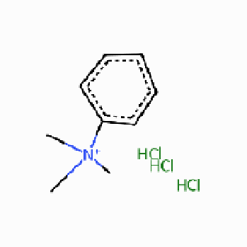 C[N+](C)(C)c1ccccc1.Cl.Cl.Cl